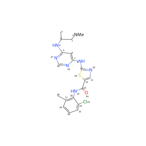 CNCC(C)Nc1cc(Nc2ncc(C(=O)Nc3c(C)cccc3Cl)s2)ncn1